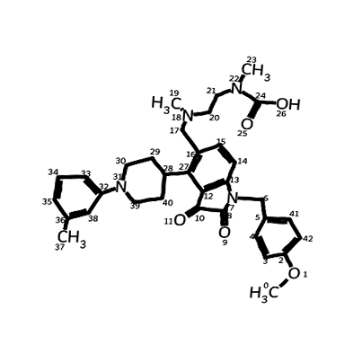 COc1ccc(CN2C(=O)C(=O)c3c2ccc(CN(C)CCN(C)C(=O)O)c3C2CCN(c3cccc(C)c3)CC2)cc1